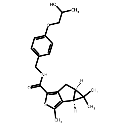 Cc1sc(C(=O)NCc2ccc(OCC(C)O)cc2)c2c1[C@H]1[C@@H](C2)C1(C)C